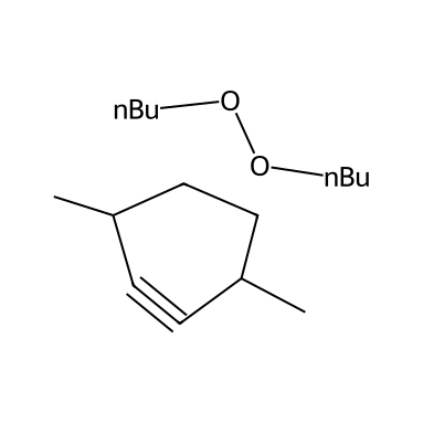 CC1C#CC(C)CC1.CCCCOOCCCC